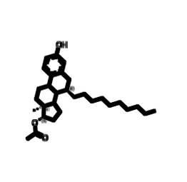 CCCCCCCCCC[C@@H]1Cc2cc(O)ccc2C2CC[C@@]3(C)C(CC[C@@H]3OC(C)=O)C21